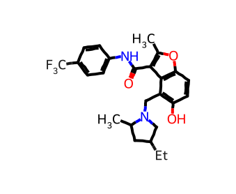 CCC1CC(C)N(Cc2c(O)ccc3oc(C)c(C(=O)Nc4ccc(C(F)(F)F)cc4)c23)C1